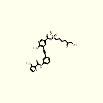 Cc1ccoc1C(=O)Nc1cccc(C#Cc2cc(C(=O)N=[S@@](C)(=O)CCCCC(=O)CO)cnc2N)c1